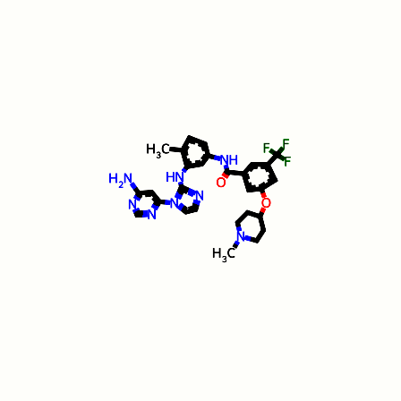 Cc1ccc(NC(=O)c2cc(OC3CCN(C)CC3)cc(C(F)(F)F)c2)cc1Nc1nccn1-c1cc(N)ncn1